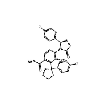 COC(=O)c1ccc(N2C(=O)CSC2c2ccc(F)cc2)c(C)c1C1(c2ccc(Cl)cc2)CCCC1